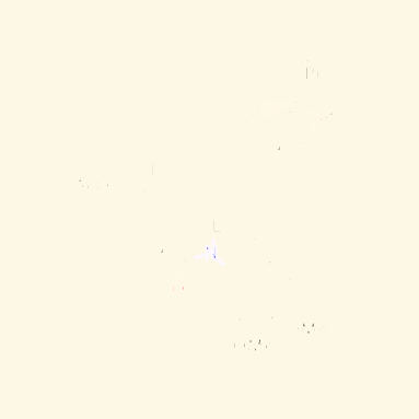 CCN(C(=O)c1ccc(OC(C)=O)c(F)c1)c1cc(OC)c(OC)cc1[C@@H]1CCc2cc(OC(=O)C(C)(C)C)ccc2C1